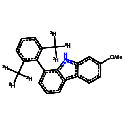 [2H]C([2H])([2H])c1cccc(C([2H])([2H])[2H])c1-c1cccc2c1[nH]c1cc(OC)ccc12